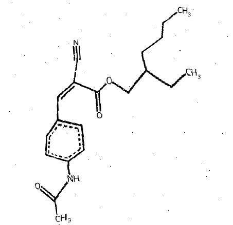 CCCCC(CC)COC(=O)C(C#N)=Cc1ccc(NC(C)=O)cc1